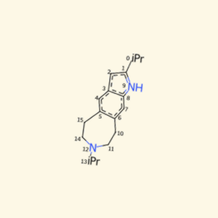 CC(C)c1cc2cc3c(cc2[nH]1)CCN(C(C)C)CC3